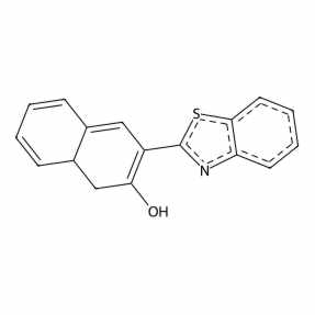 OC1=C(c2nc3ccccc3s2)C=C2C=CC=CC2C1